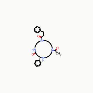 CC(=O)N1CCCCN(C(=O)/C=C\c2ccccc2)CCCNC(=O)C[C@@H](c2ccccc2)NCCC1